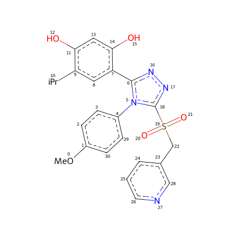 COc1ccc(-n2c(-c3cc(C(C)C)c(O)cc3O)nnc2S(=O)(=O)Cc2cccnc2)cc1